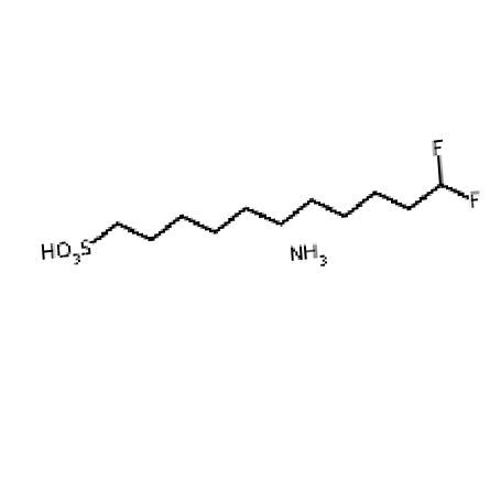 N.O=S(=O)(O)CCCCCCCCCCC(F)F